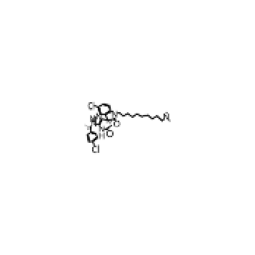 C[C@@H](c1ccc(Cl)cc1)n1nnc2c1NC(=O)C[C@]21C(=O)N(CCCCCCCCCCN(C)C)c2ccc(Cl)cc21